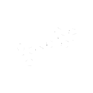 CC1(C)c2ccccc2-c2c3ccccc3c(-c3ccc4c(c3)CCC(c3ccc(P(=O)(c5ccccc5)c5ccccc5)cc3)=C4)c3cccc1c23